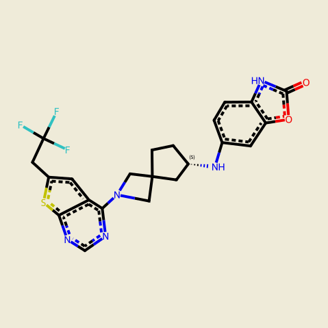 O=c1[nH]c2ccc(N[C@H]3CCC4(C3)CN(c3ncnc5sc(CC(F)(F)F)cc35)C4)cc2o1